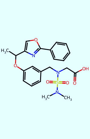 CC(Oc1cccc(CN(CC(=O)O)S(=O)(=O)N(C)C)c1)c1coc(-c2ccccc2)n1